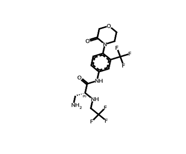 NC[C@@H](NCC(F)(F)F)C(=O)Nc1ccc(N2CCOCC2=O)c(C(F)(F)F)c1